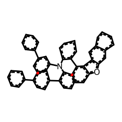 c1ccc(-c2ccc(-c3ccccc3N(c3cccc(-c4ccccc4)c3)c3ccccc3-c3cccc4oc5cc6ccccc6cc5c34)cc2)cc1